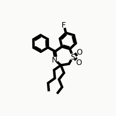 CCCCC1(CCCC)CS(=O)(=O)c2ccc(F)cc2C(c2ccccc2)=N1